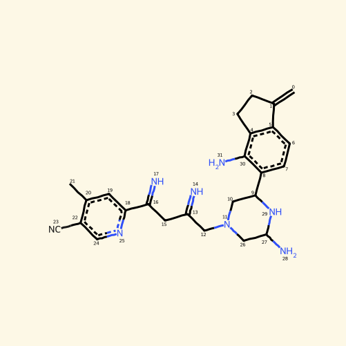 C=C1CCc2c1ccc(C1CN(CC(=N)CC(=N)c3cc(C)c(C#N)cn3)CC(N)N1)c2N